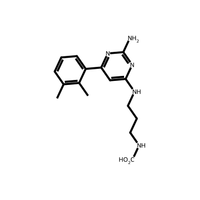 Cc1cccc(-c2cc(NCCCNC(=O)O)nc(N)n2)c1C